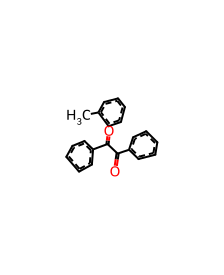 Cc1ccccc1.O=C(C(=O)c1ccccc1)c1ccccc1